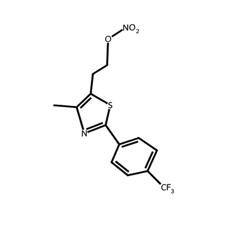 Cc1nc(-c2ccc(C(F)(F)F)cc2)sc1CCO[N+](=O)[O-]